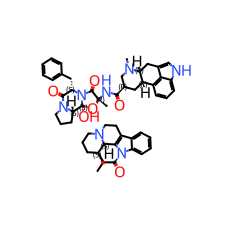 CC[C@]12CCCN3CCc4c(n(c5ccccc45)C(=O)C1)[C@@H]32.CN1C[C@H](C(=O)N[C@]2(C)O[C@@]3(O)[C@@H]4CCCN4C(=O)[C@H](Cc4ccccc4)N3C2=O)C[C@@H]2c3cccc4[nH]cc(c34)C[C@H]21